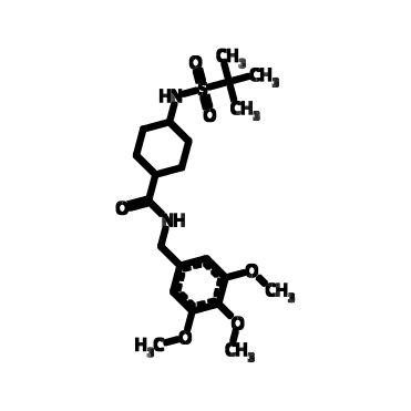 COc1cc(CNC(=O)C2CCC(NS(=O)(=O)C(C)(C)C)CC2)cc(OC)c1OC